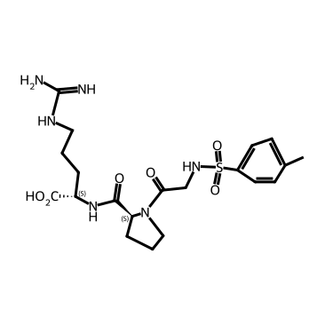 Cc1ccc(S(=O)(=O)NCC(=O)N2CCC[C@H]2C(=O)N[C@@H](CCCNC(=N)N)C(=O)O)cc1